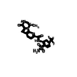 C[C@@H]1CNC(=O)c2cc3ccc(C(=O)Nc4cc(C(F)(F)F)ccc4S(N)(=O)=O)nc3n21